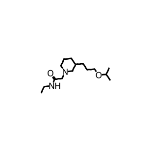 CCNC(=O)CN1CCCC(CCCOC(C)C)C1